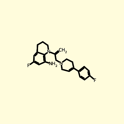 C=C(CN1CC=C(c2ccc(F)cc2)CC1)N1CCCc2cc(F)cc(N)c21